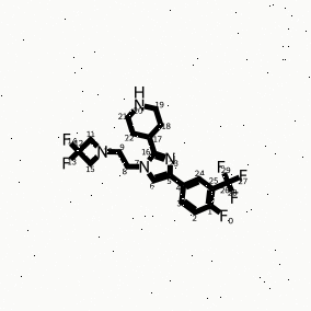 Fc1ccc(-c2cn(CCN3CC(F)(F)C3)c(C3CCNCC3)n2)cc1C(F)(F)F